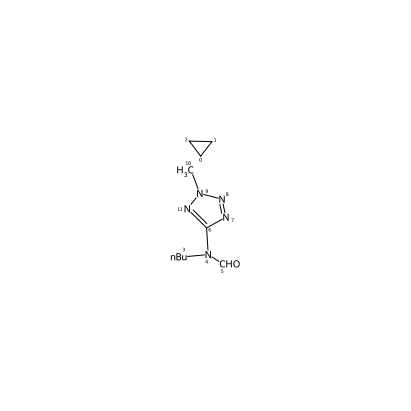 C1CC1.CCCCN(C=O)c1nnn(C)n1